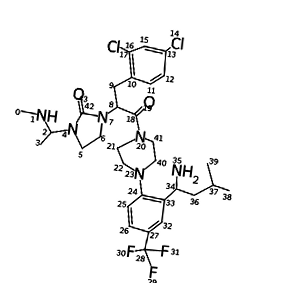 CNC(C)N1CCN(C(Cc2ccc(Cl)cc2Cl)C(=O)N2CCN(c3ccc(C(F)(F)F)cc3C(N)CC(C)C)CC2)C1=O